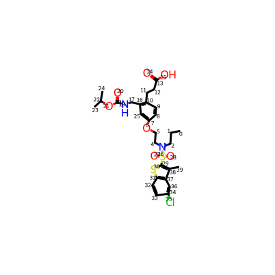 CCCN(CCOc1ccc(CCC(=O)O)c(CNC(=O)OC(C)C)c1)S(=O)(=O)c1sc2ccc(Cl)cc2c1C